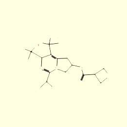 CC(C)C1=NC(C(C)(C)C)C(C(C)(C)C)=C2CC(NC(=O)C3COC3)CN12